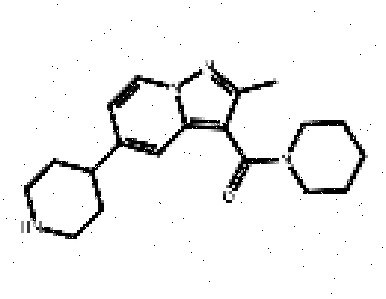 Cc1nn2ccc(C3CCNCC3)cc2c1C(=O)N1CCCCC1